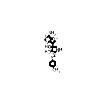 Cc1ccc(SC[C@H]2NCC(O)(c3c[nH]c4c(N)ncnc34)C2O)cc1